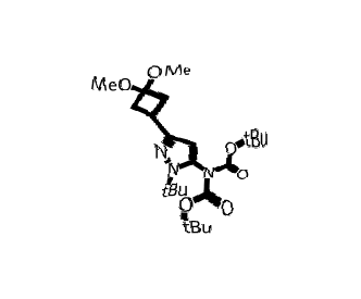 COC1(OC)CC(c2cc(N(C(=O)OC(C)(C)C)C(=O)OC(C)(C)C)n(C(C)(C)C)n2)C1